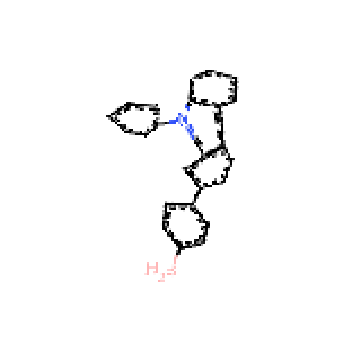 Bc1ccc(-c2ccc3c4ccccc4n(-c4ccccc4)c3c2)cc1